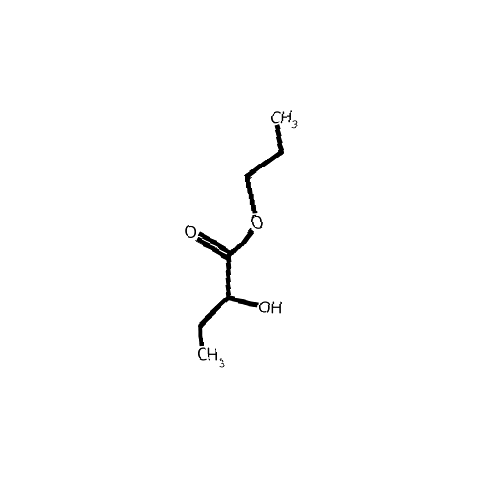 CCCOC(=O)C(O)CC